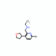 CCc1ccc(C2CCOC2)c(CNCC(F)(F)F)n1